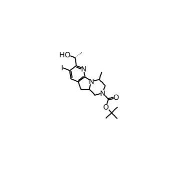 CC1CN(C(=O)OC(C)(C)C)CC2Cc3cc(I)c([C@@H](C)O)nc3N12